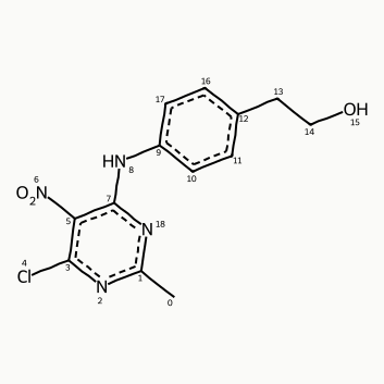 Cc1nc(Cl)c([N+](=O)[O-])c(Nc2ccc(CCO)cc2)n1